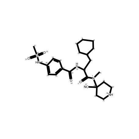 CN(C(=O)C(CC1CCCCC1)NC(=O)c1ccc(NS(C)(=O)=O)cc1)C1(C#N)CCNCC1